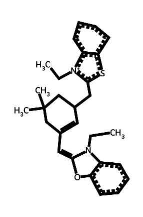 CCN1C(=CC2=CC(Cc3sc4ccccc4[n+]3CC)CC(C)(C)C2)Oc2ccccc21